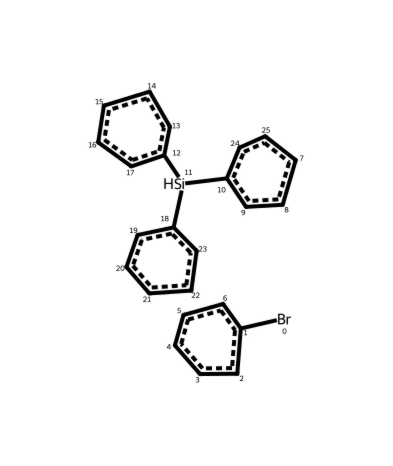 Brc1ccccc1.c1ccc([SiH](c2ccccc2)c2ccccc2)cc1